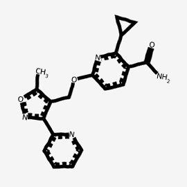 Cc1onc(-c2ccccn2)c1COc1ccc(C(N)=O)c(C2CC2)n1